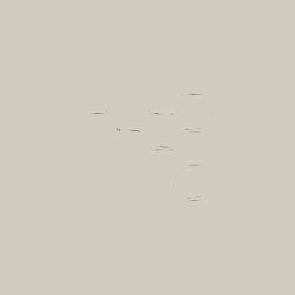 CCC(C)NC(=O)c1nc(-c2ccccc2)c2ccccc2n1